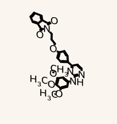 COc1cc(Nc2nccc(-c3ccc(OCCCN4C(=O)c5ccccc5C4=O)cc3)n2)cc(OC)c1OC